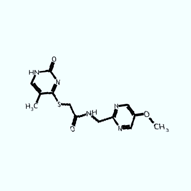 COc1cnc(CNC(=O)CSc2nc(=O)[nH]cc2C)nc1